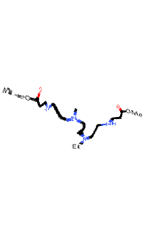 CCN(CCNCCC(=O)OC)CCN(C)CCNCCC(=O)OC